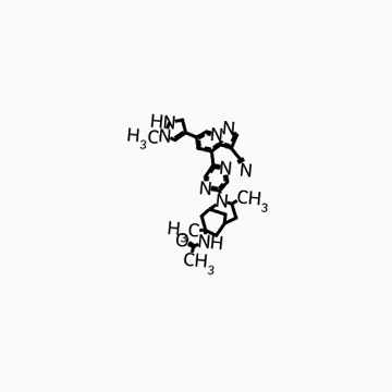 CC(=O)NC1(C)CC2CC(C)N(c3cnc(-c4cc(C5=CN(C)NC5)cn5ncc(C#N)c45)cn3)C(C2)C1